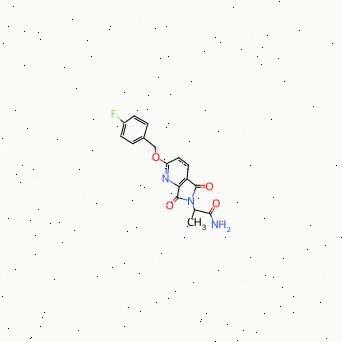 CC(C(N)=O)N1C(=O)c2ccc(OCc3ccc(F)cc3)nc2C1=O